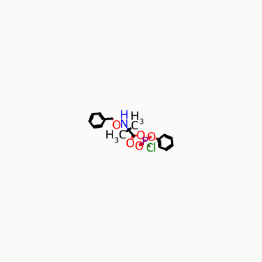 CC(C)(NOCc1ccccc1)C(=O)OP(=O)(Cl)Oc1ccccc1